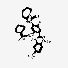 COc1ccc(C(F)(F)F)cc1NC(=O)c1cc(F)c(-n2nc3n(c2=O)CCCC3)cc1O[C@@H](C)C1CCCCC1